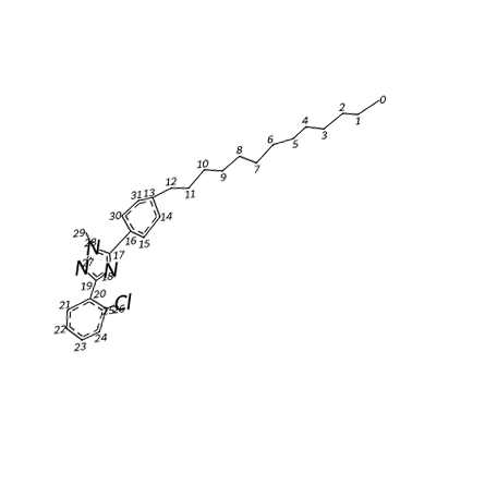 CCCCCCCCCCCCCc1ccc(-c2nc(-c3ccccc3Cl)nn2C)cc1